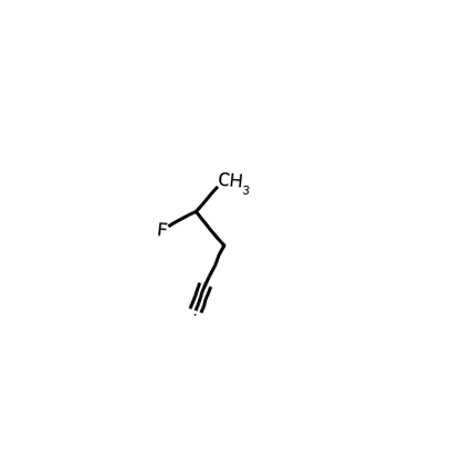 [C]#CCC(C)F